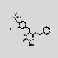 CC(C)(C)OC(=O)NC(Cc1ccc(OS(=O)(=O)C(F)(F)F)c(C=O)c1)C(=O)OCc1ccccc1